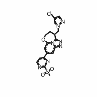 CS(=O)(=O)c1nccc(-c2cc3n4c(nnc4c2)C(Cn2cc(Cl)cn2)CCO3)n1